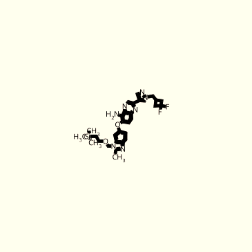 Cc1nc2ccc(Oc3ccc4nc(-c5cnn(CC6CC(F)(F)C6)c5)cnc4c3N)cc2n1COCC[Si](C)(C)C